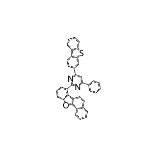 c1ccc(-c2cc(-c3ccc4c(c3)sc3ccccc34)nc(-c3cccc4oc5c6ccccc6ccc5c34)n2)cc1